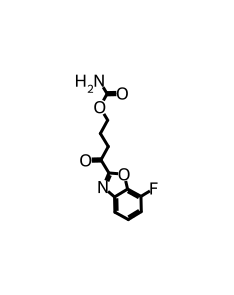 NC(=O)OCCCC(=O)c1nc2cccc(F)c2o1